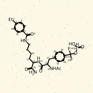 CCc1ccc(C(=O)NCCCCC(NC(=O)C(Cc2ccc(C(F)(F)O[PH](=O)O)cc2)NC(C)=O)C(N)=O)cc1